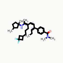 CC/C=C(/C=C\C(CCCC1CC(F)(F)C1)=C(/C)NC1(C)CCC(C)C1)c1ccc(C(=O)N(C)C)cc1